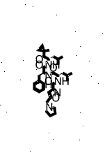 CC(C)C[C@H](NC(=O)c1cc(CN2CCCC2)on1)C(=O)N[C@@H](Cc1ccccc1)C(=O)N[C@@H](CC(C)C)C(=O)C1(C)CC1